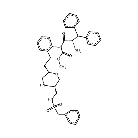 COC(=O)N(C(=O)[C@@H](N)C(c1ccccc1)c1ccccc1)c1ccccc1CC[C@@H]1CN[C@H](CNS(=O)(=O)Cc2ccccc2)CO1